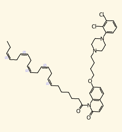 CC/C=C\C/C=C\C/C=C\C/C=C\C/C=C\CCCCCC(=O)n1c(=O)ccc2ccc(OCCCCN3CCN(c4cccc(Cl)c4Cl)CC3)cc21